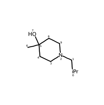 CC(C)CN1CCC(C)(O)CC1